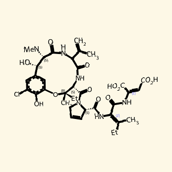 C=C(C)C1NC(=O)[C@@H](NC)[C@@H](O)c2cc(Cl)c(O)c(c2)O[C@](C)(CC)[C@@H](C(=O)N2CC=C[C@H]2C(=O)N/C(C(=O)N/C(=C/C(=O)O)C(=O)O)=C(/C)CC)NC1=O